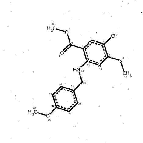 COC(=O)c1cc(Cl)c(SC)nc1NCc1ccc(OC)cc1